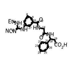 CCN/C(=N\C#N)Nc1cccc(C(=O)NCC(=O)NC(CC(=O)O)c2ccccc2)c1